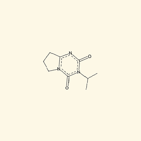 CC(C)n1c(=O)nc2n(c1=O)CCC2